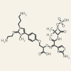 Cn1c(-c2ccc(OCC(O/N=C(\C(=O)N[C@@H]3C(=O)N(OS(=O)(=O)O)C3(C)C)c3csc(N)n3)C(=O)O)cc2)cn(CCCN)/c1=N/CCN